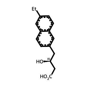 CCc1ccc2cc(C[C@H](O)CC(=O)O)ccc2c1